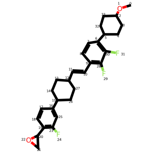 COC1CCC(c2ccc(/C=C/C3CCC(c4ccc(C5CO5)c(F)c4)CC3)c(F)c2F)CC1